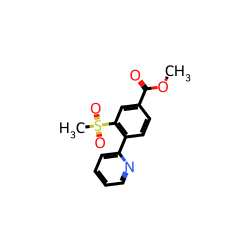 COC(=O)c1ccc(-c2ccccn2)c(S(C)(=O)=O)c1